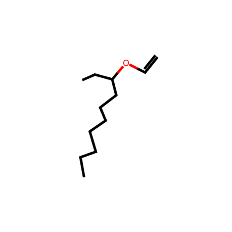 C=COC(CC)CCCCCCC